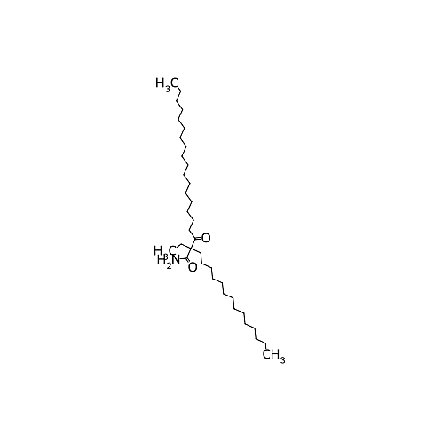 CCCCCCCCCCCCCCCCCC(=O)C(CC)(CCCCCCCCCCCCCC)C(N)=O